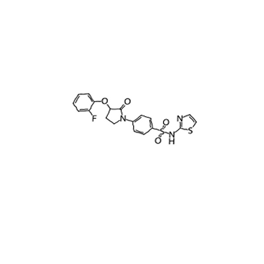 O=C1C(Oc2ccccc2F)CCN1c1ccc(S(=O)(=O)Nc2nccs2)cc1